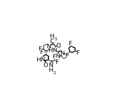 C[C@@H](C(=O)Nc1cn2c(n1)CC[C@@H]2c1cc(F)cc(F)c1)N1CCC(F)(F)[C@@H](c2c[nH]c(=O)c([C@@H](N)C(F)F)c2)C1